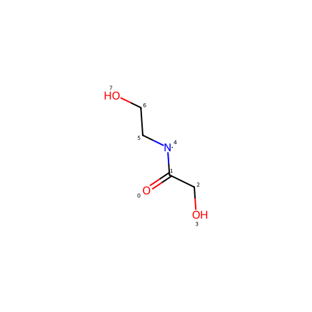 O=C(CO)[N]CCO